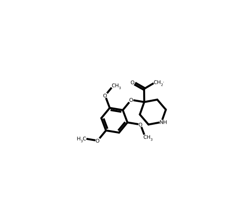 [CH2]C(=O)C1(Oc2c(OC)cc(OC)cc2OC)CCNCC1